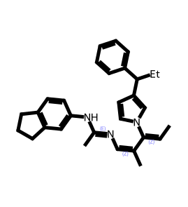 C/C=C(/C(C)=C\N=C(/C)Nc1ccc2c(c1)CCC2)n1ccc(C(CC)c2ccccc2)c1